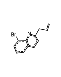 C=CCc1ccc2cccc(Br)c2n1